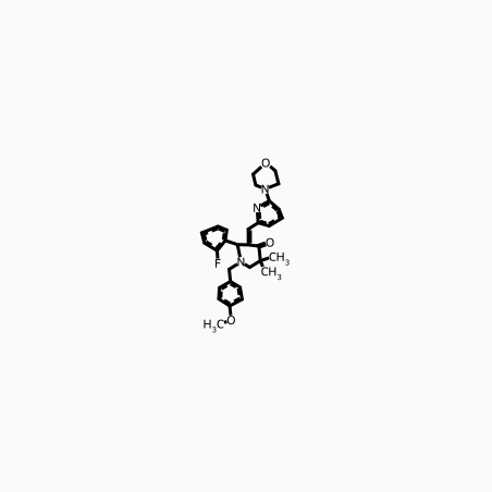 COc1ccc(CN2CC(C)(C)C(=O)/C(=C\c3cccc(N4CCOCC4)n3)C2c2ccccc2F)cc1